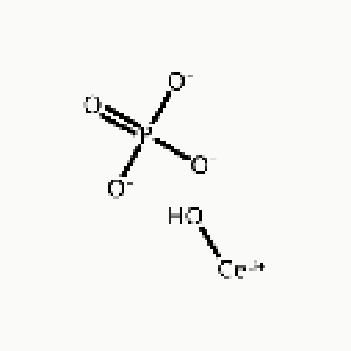 O=P([O-])([O-])[O-].[OH][Ce+3]